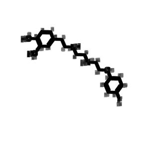 Oc1ccc(CCNCCNCCOc2ccc(F)cc2)cc1O